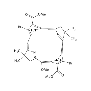 COC(=O)c1c(Br)c2cc3nc(c(OC)c4[nH]c(cc5nc(cc1[nH]2)CC5(C)C)c(Br)c4C(=O)OC)CC3(C)C